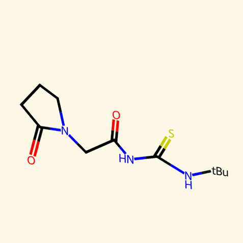 CC(C)(C)NC(=S)NC(=O)CN1CCCC1=O